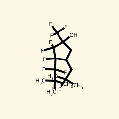 CC(C)(C)CC1CC(O)(C(F)(F)F)C(F)(F)C1(F)C(F)(F)C(C)(C)C